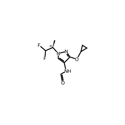 C[C@H](C(F)F)n1cc(NC=O)c(OC2CC2)n1